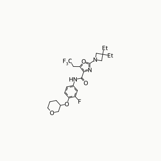 CCC1(CC)CN(c2nc(C(=O)Nc3ccc(OC4CCCOC4)c(F)c3)c(CC(F)(F)F)o2)C1